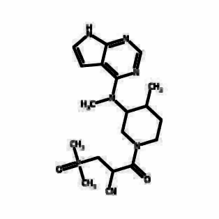 CC1CCN(C(=O)C(C#N)CP(C)(C)=O)CC1N(C)c1ncnc2[nH]ccc12